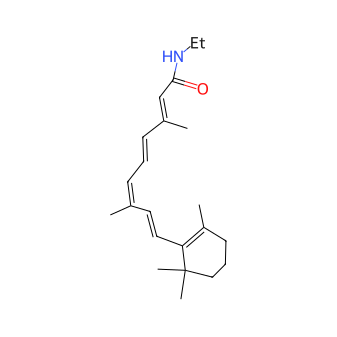 CCNC(=O)/C=C(C)/C=C/C=C(C)\C=C\C1=C(C)CCCC1(C)C